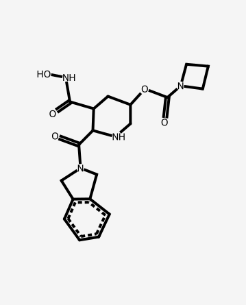 O=C(NO)C1CC(OC(=O)N2CCC2)CNC1C(=O)N1Cc2ccccc2C1